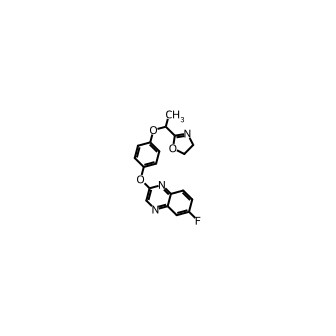 CC(Oc1ccc(Oc2cnc3cc(F)ccc3n2)cc1)C1=NCCO1